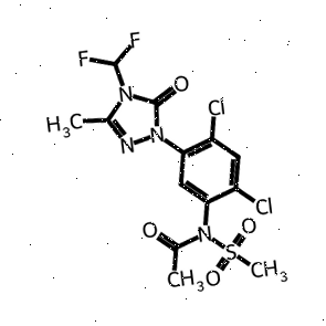 CC(=O)N(c1cc(-n2nc(C)n(C(F)F)c2=O)c(Cl)cc1Cl)S(C)(=O)=O